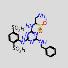 NCC(Nc1nc(NCc2ccccc2)nc(Nc2cc(S(=O)(=O)O)ccc2S(=O)(=O)O)n1)[SH](=O)=O